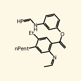 C=C(Oc1cccc(NC=P)c1)c1cc(CC)c(CCCCC)cc1/N=C\C